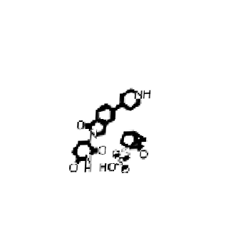 CC1(C)C2CC[C@]1(CS(=O)(=O)O)C(=O)C2.O=C1CC[C@H](N2Cc3cc(C4CCNCC4)ccc3C2=O)C(=O)N1